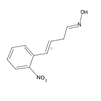 O=[N+]([O-])c1ccccc1/C=C/CC=NO